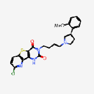 COc1ccccc1[C@H]1CCN(CCCCn2c(=O)[nH]c3c(sc4ccc(Cl)nc43)c2=O)C1